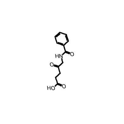 O=C(O)CCC(=O)CNC(=O)c1ccccc1